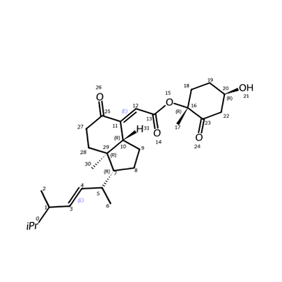 CC(C)C(C)/C=C/C(C)[C@H]1CC[C@H]2/C(=C\C(=O)O[C@]3(C)CC[C@@H](O)CC3=O)C(=O)CC[C@]12C